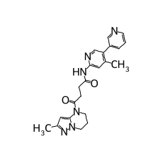 Cc1cc2n(n1)CCCN2C(=O)CCC(=O)Nc1cc(C)c(-c2cccnc2)cn1